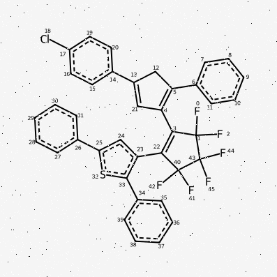 FC1(F)C(C2=C(c3ccccc3)CC(c3ccc(Cl)cc3)=C2)=C(c2cc(-c3ccccc3)sc2-c2ccccc2)C(F)(F)C1(F)F